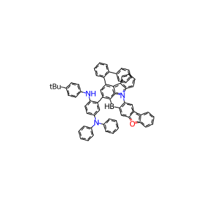 CC(C)(C)c1ccc(Nc2ccc(N(c3ccccc3)c3ccccc3)cc2-c2cc(-c3ccccc3-c3ccccc3)c3c4ccccc4n4c3c2Bc2cc3oc5ccccc5c3cc2-4)cc1